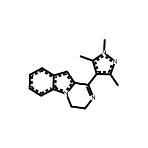 Cc1nn(C)c(C)c1C1=NCCn2c1cc1ccccc12